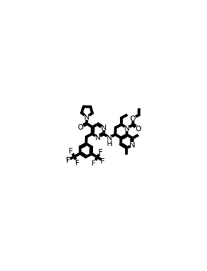 CCOC(=O)N1c2c(cc(C)nc2C)C(Nc2ncc(C(=O)N3CCCC3)c(Cc3cc(C(F)(F)F)cc(C(F)(F)F)c3)n2)CC1CC